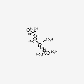 CCCOc1cc(N=Nc2c(C)c(C#N)c3nc4ccccc4n3c2O)c(Cl)cc1N=Nc1cc(C)c(N=Nc2nc3c(S(=O)(=O)O)cc4ccc(S(=O)(=O)O)cc4c3s2)cc1SCCCS(=O)(=O)O